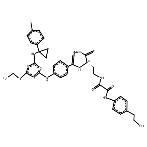 COC(=O)[C@H](CCNC(=O)C(=O)Nc1ccc(CCO)cc1)NC(=O)c1ccc(Nc2nc(NC3(c4ccc(Cl)cc4)CC3)nc(OCC(F)(F)F)n2)cc1